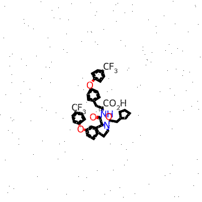 O=C(N[C@@H](Cc1ccc(Oc2ccc(C(F)(F)F)cc2)cc1)C(=O)O)C1c2cc(Oc3ccc(C(F)(F)F)cc3)ccc2CCN1C(=O)CC1CCCC1